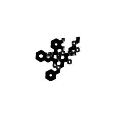 CCOC(=O)CNC(=O)C(=O)C(COCc1ccccc1)NC(=O)C(CC1CCCCC1)NC(=O)c1cccc(F)c1F